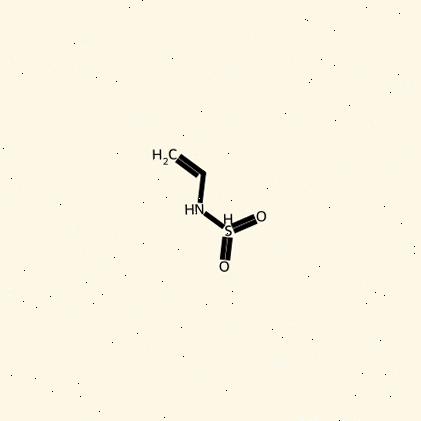 C=CN[SH](=O)=O